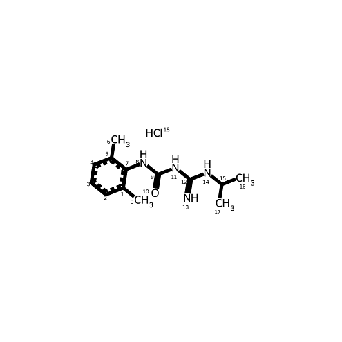 Cc1cccc(C)c1NC(=O)NC(=N)NC(C)C.Cl